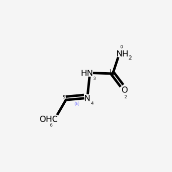 NC(=O)N/N=C/C=O